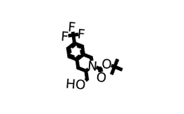 CC(C)(C)OC(=O)N1Cc2cc(C(F)(F)F)ccc2CC1CO